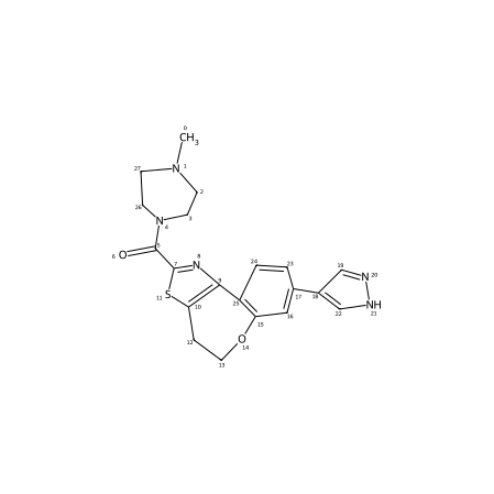 CN1CCN(C(=O)c2nc3c(s2)CCOc2cc(-c4cn[nH]c4)ccc2-3)CC1